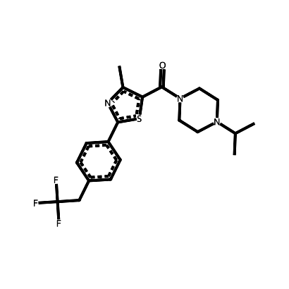 Cc1nc(-c2ccc(CC(F)(F)F)cc2)sc1C(=O)N1CCN(C(C)C)CC1